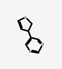 C1=CC(c2cncnc2)CS1